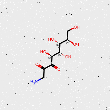 NCC(=O)C(=O)[C@@H](O)[C@@H](O)[C@H](O)[C@H](O)CO